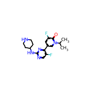 CC(C)n1cc(-c2nc(NC3CCNCC3)ncc2F)cc(F)c1=O